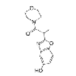 CC(C(=O)N1CCOCC1)c1nc2cc(O)ccc2o1